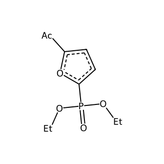 CCOP(=O)(OCC)c1ccc(C(C)=O)o1